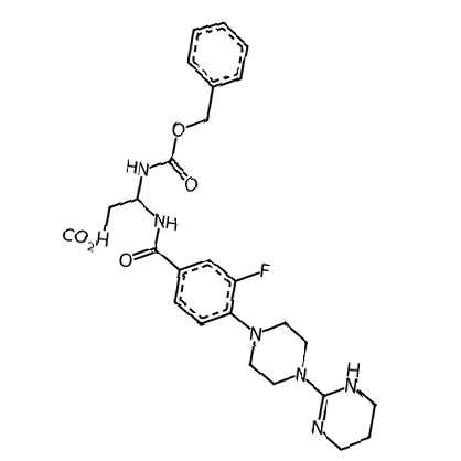 O=C(O)CC(NC(=O)OCc1ccccc1)NC(=O)c1ccc(N2CCN(C3=NCCCN3)CC2)c(F)c1